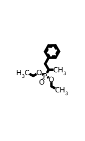 CCOP(=O)(OCC)C(C)Cc1ccccc1